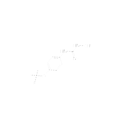 CNC(=N)Nc1ccc(OC(F)(F)F)cc1